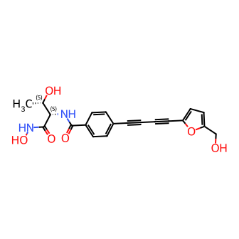 C[C@H](O)[C@H](NC(=O)c1ccc(C#CC#Cc2ccc(CO)o2)cc1)C(=O)NO